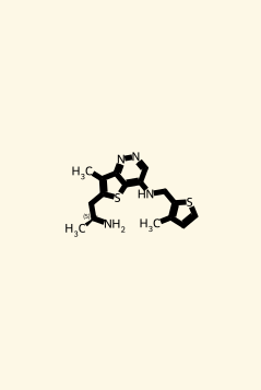 Cc1ccsc1CNc1cnnc2c(C)c(C[C@H](C)N)sc12